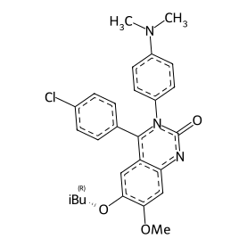 CC[C@@H](C)Oc1cc2c(-c3ccc(Cl)cc3)n(-c3ccc(N(C)C)cc3)c(=O)nc2cc1OC